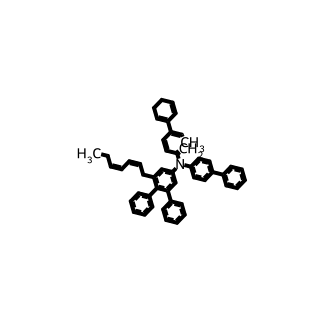 C=C(/C=C\C(=C/C)C1=CCCC=C1)N(c1ccc(-c2ccccc2)cc1)c1cc(C/C=C\C=C/CC)c(-c2ccccc2)c(-c2ccccc2)c1